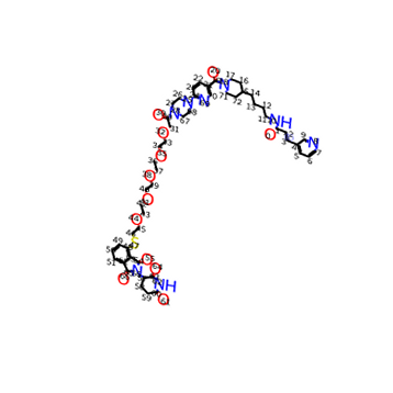 O=C(/C=C/c1cccnc1)NCCCCC1CCN(C(=O)c2ccc(N3CCN(C(=O)COCCOCCOCCOCCOCCSc4cccc5c4C(=O)N(C4CCC(=O)NC4=O)C5=O)CC3)nc2)CC1